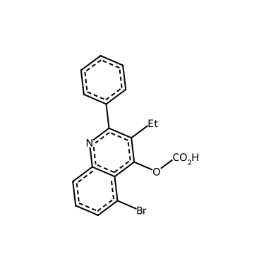 CCc1c(-c2ccccc2)nc2cccc(Br)c2c1OC(=O)O